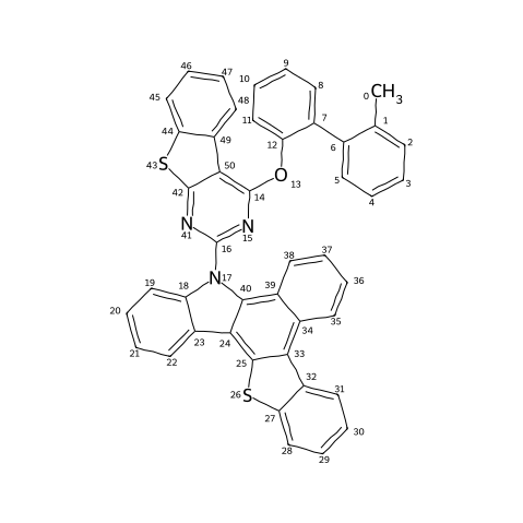 Cc1ccccc1-c1ccccc1Oc1nc(-n2c3ccccc3c3c4sc5ccccc5c4c4ccccc4c32)nc2sc3ccccc3c12